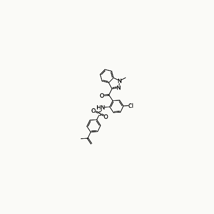 C=C(C)c1ccc(S(=O)(=O)Nc2ccc(Cl)cc2C(=O)c2nn(C)c3ccccc23)cc1